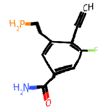 C#Cc1c(F)cc(C(N)=O)cc1CP